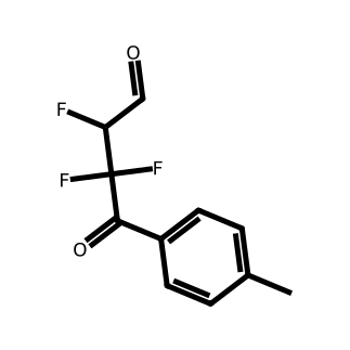 Cc1ccc(C(=O)C(F)(F)C(F)C=O)cc1